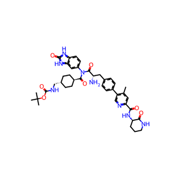 Cc1cc(C(=O)N[C@@H]2CCCNC2=O)ncc1-c1ccc(C[C@H](N)C(=O)N(c2ccc3[nH]c(=O)[nH]c3c2)C(=O)[C@H]2CC[C@H](CNC(=O)OC(C)(C)C)CC2)cc1